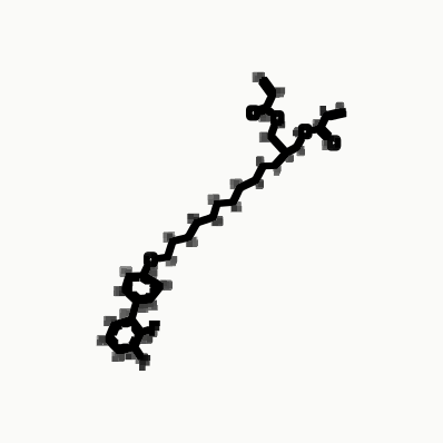 C=CC(=O)OCC(CCCCCCCCCCCOc1ccc(-c2cccc(F)c2F)cc1)COC(=O)C=C